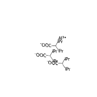 CC(C)C(C(=O)[O-])C(C)C.CC(C)C(C(=O)[O-])C(C)C.CC(C)C(C(=O)[O-])C(C)C.[Al+3]